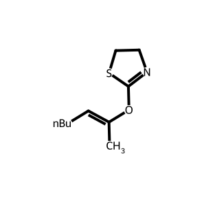 CCCCC=C(C)OC1=NCCS1